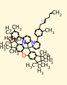 C=CC/C=C/Cc1ccc(-c2cccc(C3(c4cccc(-c5ccc(C)c(C)c5)n4)c4cc5c(cc4Oc4cc6c(cc43)C(C)(C)C(C)(C)C6(C)C)C(C)(C)C(C)(C)C5(C)C)n2)cc1C